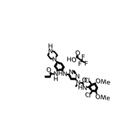 C=CC(=O)Nc1cc(N2CCNCC2)ccc1Nc1cc(N(C)C(=O)Nc2c(Cl)c(OC)cc(OC)c2Cl)ncn1.O=C(O)C(F)(F)F